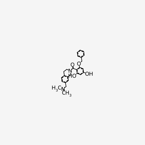 CN(C)Cc1ccc2c(c1)CN(C(=O)c1c(O)cc(O)cc1OCc1ccccc1)CC2